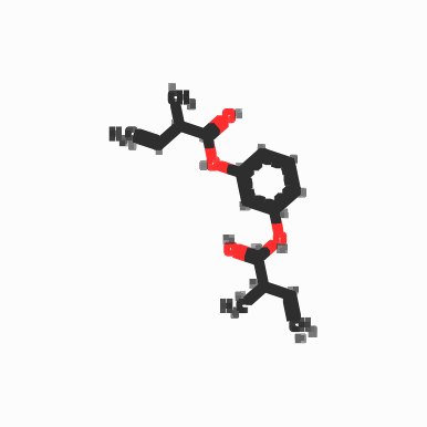 C=CC(C)C(=O)Oc1cccc(OC(=O)C(C)C=C)c1